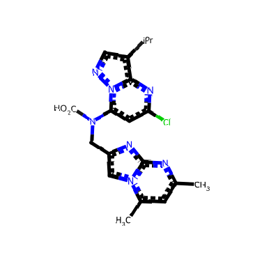 Cc1cc(C)n2cc(CN(C(=O)O)c3cc(Cl)nc4c(C(C)C)cnn34)nc2n1